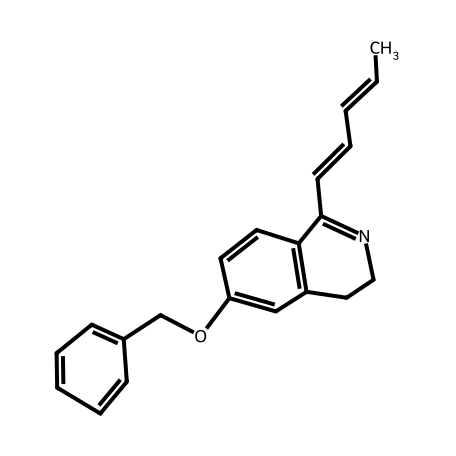 CC=CC=CC1=NCCc2cc(OCc3ccccc3)ccc21